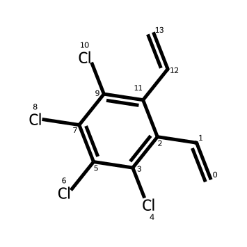 C=Cc1c(Cl)c(Cl)c(Cl)c(Cl)c1C=C